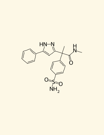 CNC(=O)C(C)(c1ccc(S(N)(=O)=O)cc1)c1cc(-c2ccccc2)[nH]n1